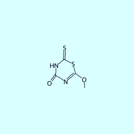 COc1nc(=O)[nH]c(=S)s1